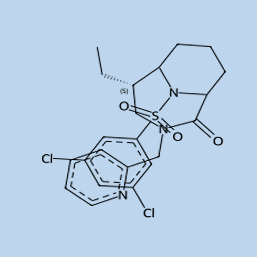 CC[C@H]1CN(Cc2ccccn2)C(=O)C2CCCC1N2S(=O)(=O)c1cc(Cl)cc(Cl)c1